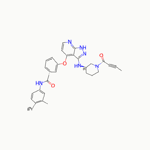 CC#CC(=O)N1CCC[C@@H](Nc2n[nH]c3nccc(Oc4cccc(C(=O)Nc5ccc(C(C)C)c(C)c5)c4)c23)C1